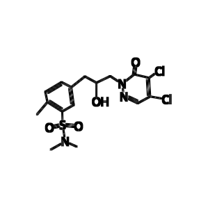 Cc1ccc(CC(O)Cn2ncc(Cl)c(Cl)c2=O)cc1S(=O)(=O)N(C)C